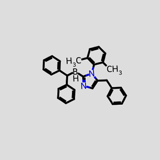 Cc1cccc(C)c1-n1c(Cc2ccccc2)cnc1BC(c1ccccc1)c1ccccc1